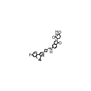 Cc1cc(F)cnc1-c1cn([C@H]2C[C@H](CNc3ccc4c(c3)CN(C3CCC(=O)NC3=O)C4=O)C2)nc1C1CC1